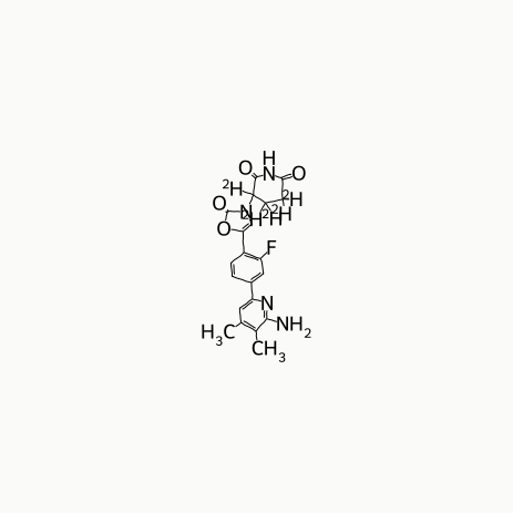 [2H]C1([2H])C(=O)NC(=O)C([2H])(n2cc(-c3ccc(-c4cc(C)c(C)c(N)n4)cc3F)oc2=O)C1([2H])[2H]